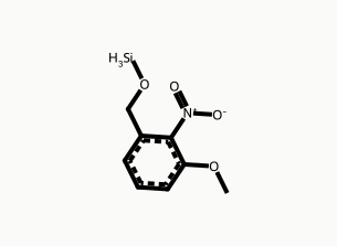 COc1cccc(CO[SiH3])c1[N+](=O)[O-]